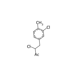 CC(=O)C(Cl)Cc1ccc(C)c(Cl)c1